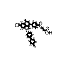 CCCC(c1ccc(C(=O)NCCC(=O)O)cc1)C(COc1ccc(-c2ccc(C)cc2)cc1)c1ccc(Cl)cc1